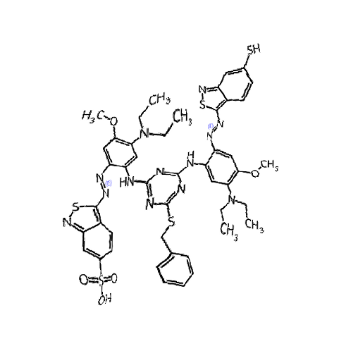 CCN(CC)c1cc(Nc2nc(Nc3cc(N(CC)CC)c(OC)cc3/N=N/c3snc4cc(S(=O)(=O)O)ccc34)nc(SCc3ccccc3)n2)c(/N=N/c2snc3cc(S)ccc23)cc1OC